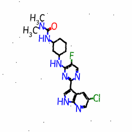 CN(C)C(=O)NC1CCCC(Nc2nc(-c3c[nH]c4ncc(Cl)cc34)ncc2F)C1